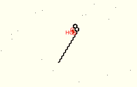 CCCCCCCCCCCCCCCCCCCCc1ccc2ccccc2c1S(=O)(=O)O